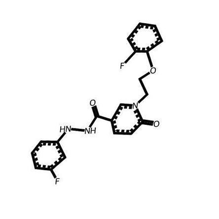 O=C(NNc1cccc(F)c1)c1ccc(=O)n(CCOc2ccccc2F)c1